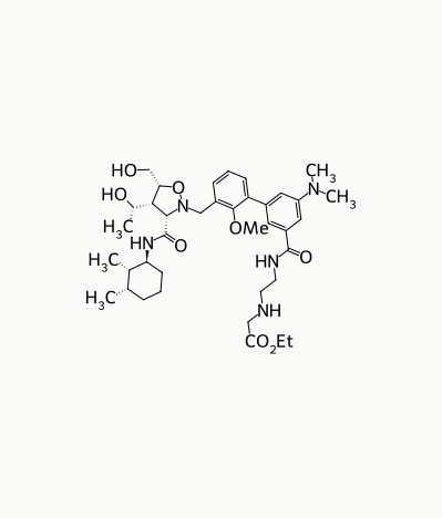 CCOC(=O)CNCCNC(=O)c1cc(-c2cccc(CN3O[C@@H](CO)[C@@H]([C@H](C)O)[C@H]3C(=O)N[C@H]3CCC[C@H](C)[C@@H]3C)c2OC)cc(N(C)C)c1